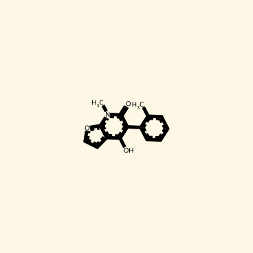 Cc1ccccc1-c1c(O)c2ccoc2n(C)c1=O